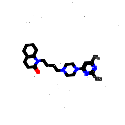 CC(C)(C)c1nc(N2CCN(CCCCN3C(=O)CCC4=C3CCCC4)CC2)cc(C(F)(F)F)n1